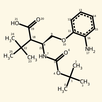 CC(C)(C)OC(=O)N[C@H](COc1ccccc1N)C(C(=O)O)C(C)(C)C